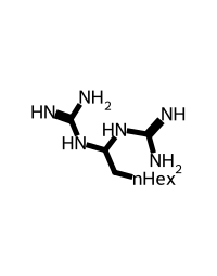 CCCCCCCC(NC(=N)N)NC(=N)N